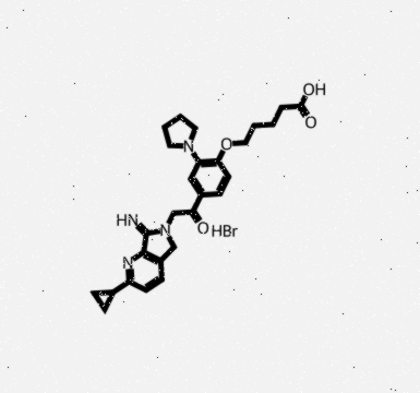 Br.N=C1c2nc(C3CC3)ccc2CN1CC(=O)c1ccc(OCCCCC(=O)O)c(N2CCCC2)c1